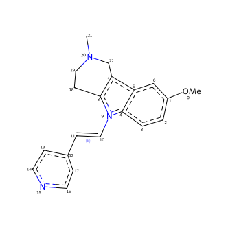 COc1ccc2c(c1)c1c(n2/C=C/c2ccncc2)CCN(C)C1